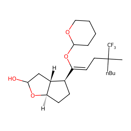 CCCCC(C)(CC=C(OC1CCCCO1)[C@H]1CC[C@H]2OC(O)C[C@H]12)C(F)(F)F